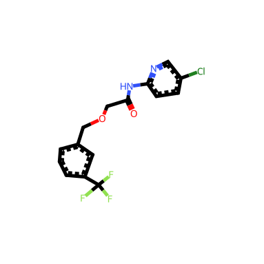 O=C(COCc1cccc(C(F)(F)F)c1)Nc1ccc(Cl)cn1